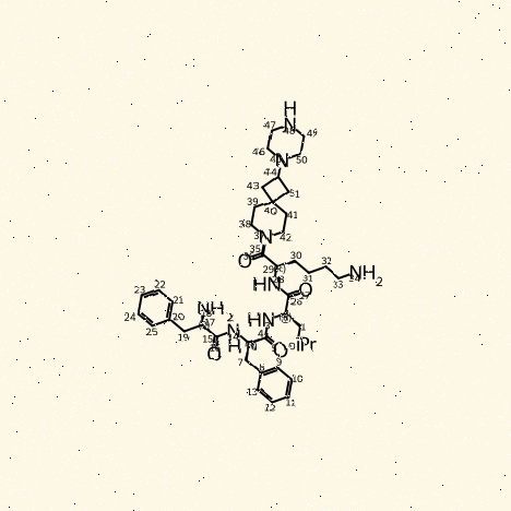 CC(C)C[C@@H](NC(=O)[C@@H](Cc1ccccc1)NC(=O)[C@H](N)Cc1ccccc1)C(=O)N[C@H](CCCCN)C(=O)N1CCC2(CC1)CC(N1CCNCC1)C2